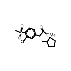 COC(=O)[C@H](CC1CCCC1)c1ccc(S(C)(=O)=O)c(Cl)c1